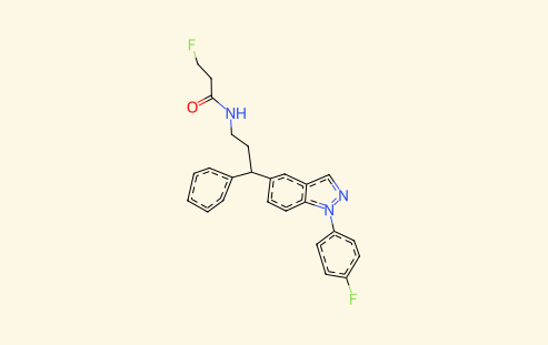 O=C(CCF)NCCC(c1ccccc1)c1ccc2c(cnn2-c2ccc(F)cc2)c1